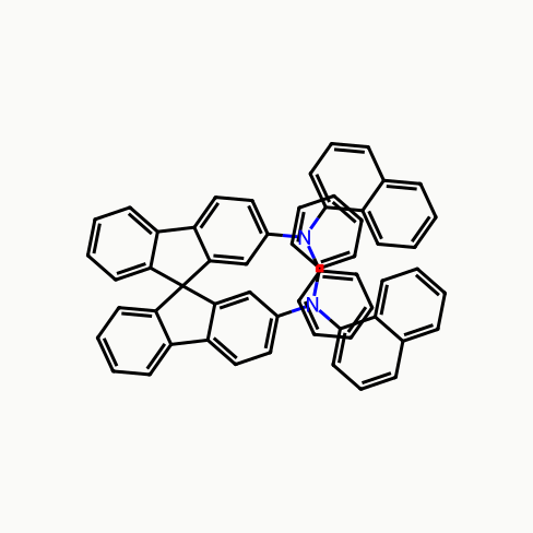 c1ccc(N(c2ccc3c(c2)C2(c4ccccc4-3)c3ccccc3-c3ccc(N(c4ccccc4)c4cccc5ccccc45)cc32)c2cccc3ccccc23)cc1